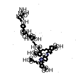 CC1(C)C(/C=C/C2=C(Oc3ccc(S(=O)(=O)O)cc3)C(=C/C=C3/N(CCCCS(=O)(=O)O)c4ccc(S(=O)(=O)O)cc4C3(C)C)/CCC2)=C(CCCCCC(=O)NCCCC[C@H](NC(=O)CC[C@H](NC(=O)c2ccc(NCc3cnc4nc(N)[nH]c(=O)c4n3)cc2)C(=O)O)C(=O)O)c2ccc(S(=O)(=O)O)cc21